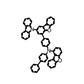 c1ccc(-c2ccc(N(c3ccc(-c4cc(-n5c6ccccc6c6ccccc65)cc5c4oc4ccccc45)cc3)c3cccc4oc5ccccc5c34)cc2)cc1